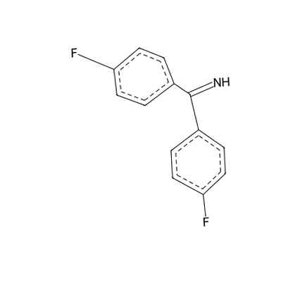 N=C(c1ccc(F)cc1)c1ccc(F)cc1